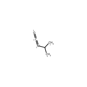 CC(C)[N+]=C=O